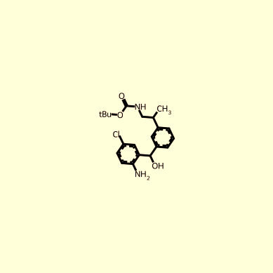 CC(CNC(=O)OC(C)(C)C)c1cccc(C(O)c2cc(Cl)ccc2N)c1